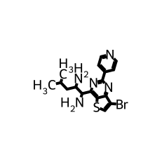 CC(C)CC(N)C(N)c1nc(-c2ccncc2)nc2c(Br)csc12